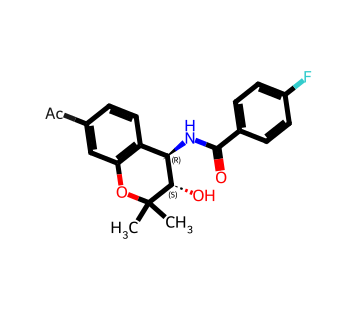 CC(=O)c1ccc2c(c1)OC(C)(C)[C@@H](O)[C@@H]2NC(=O)c1ccc(F)cc1